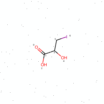 O=C(O)C(O)CI